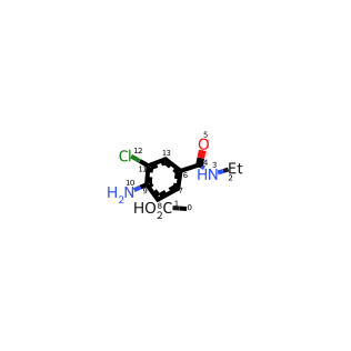 CC(=O)O.CCNC(=O)c1ccc(N)c(Cl)c1